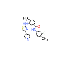 Cc1ccc(NC(=O)c2ccc(C)c(NC3=NC(c4ccncc4)CS3)c2)cc1Cl